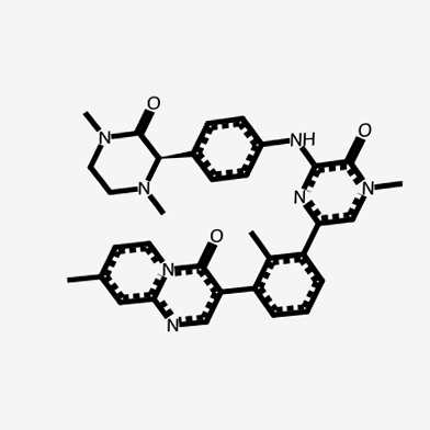 Cc1ccn2c(=O)c(-c3cccc(-c4cn(C)c(=O)c(Nc5ccc([C@@H]6C(=O)N(C)CCN6C)cc5)n4)c3C)cnc2c1